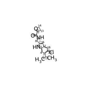 CC(C)c1cc2[nH]c(CNC(=O)C3CCO3)cc2cc1Cl